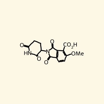 COc1ccc2c(c1C(=O)O)C(=O)N(C1CCC(=O)NC1=O)C2=O